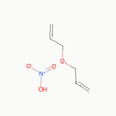 C=CCOCC=C.O=[N+]([O-])O